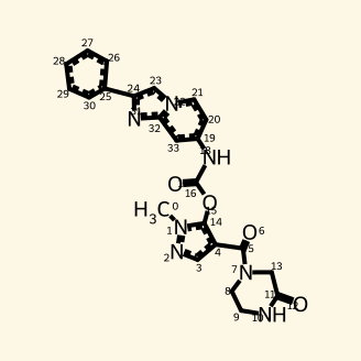 Cn1ncc(C(=O)N2CCNC(=O)C2)c1OC(=O)Nc1ccn2cc(-c3ccccc3)nc2c1